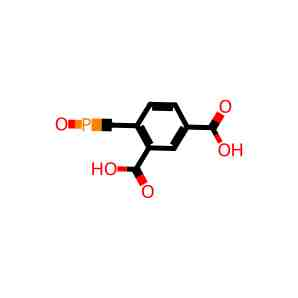 O=P#Cc1ccc(C(=O)O)cc1C(=O)O